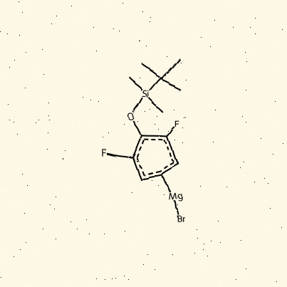 CC(C)(C)[Si](C)(C)Oc1c(F)c[c]([Mg][Br])cc1F